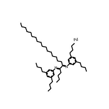 CCCCCCCCCCCCCCCCCC(=N\c1cc(CCCC)cc(CCCC)c1)/C(CCCC)=N/c1cc(CCCC)cc(CCCC)c1.[Pd]